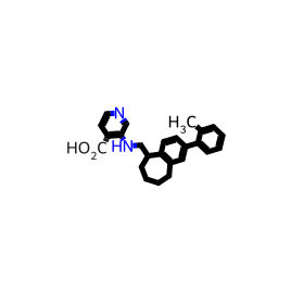 Cc1ccccc1-c1ccc2c(c1)CCCCC2CNc1cnccc1C(=O)O